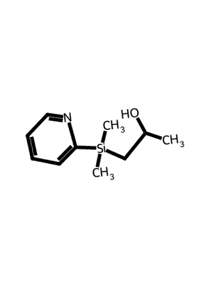 CC(O)C[Si](C)(C)c1ccccn1